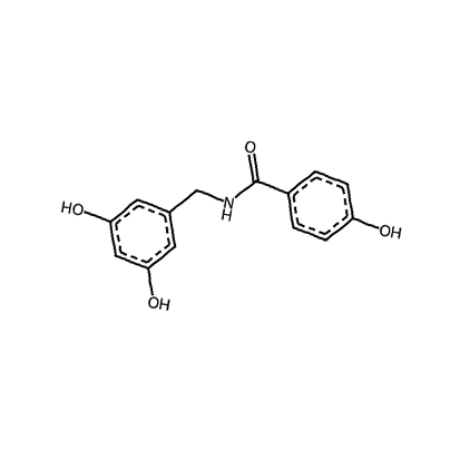 O=C(NCc1cc(O)cc(O)c1)c1ccc(O)cc1